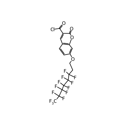 O=C(Cl)c1cc2ccc(OCCC(F)(F)C(F)(F)C(F)(F)C(F)(F)C(F)(F)C(F)(F)F)cc2oc1=O